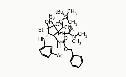 CC[C@@]1(O)[C@@H](Nc2cccc(C(C)=O)c2)[C@H](NC(=O)OCc2ccccc2)[C@@](NC(=O)N(C)C)([C@H](C)O[Si](C)(C)C(C)(C)C)[C@@]1(C)O